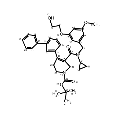 COc1cc(CN(C(=O)C2=C(c3cccc(-c4ccccc4)c3)CCN(C(=O)OC(C)(C)C)C2)C2CC2)cc(OCCO)c1